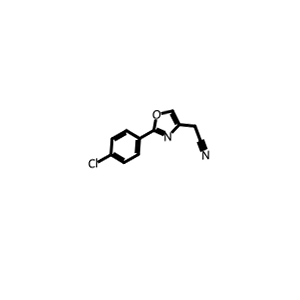 N#CCc1coc(-c2ccc(Cl)cc2)n1